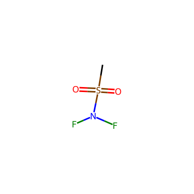 CS(=O)(=O)N(F)F